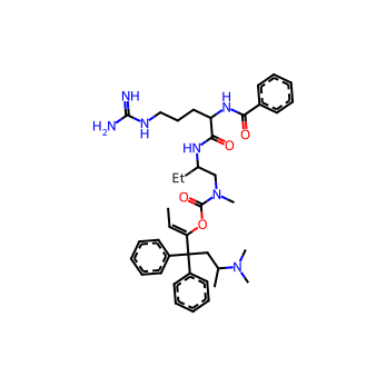 C/C=C(\OC(=O)N(C)CC(CC)NC(=O)C(CCCNC(=N)N)NC(=O)c1ccccc1)C(CC(C)N(C)C)(c1ccccc1)c1ccccc1